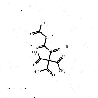 CC(=O)OC(=O)C(=O)C(C(C)=O)(C(C)=O)C(C)=O.[Ti]